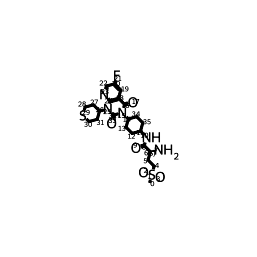 CS(=O)(=O)CC[C@H](N)C(=O)NC1CCC(n2c(=O)c3cc(F)cnc3n(C3CCSCC3)c2=O)CC1